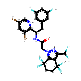 O=C(Cn1nc(C(F)F)c2c1C(F)(F)CCC2(F)F)NC(Cc1cc(F)cc(F)c1)c1ncc(Br)cc1Br